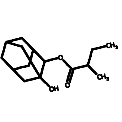 CCC(C)C(=O)OC1C2CC3CC(C2)CC1(O)C3